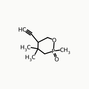 C#CC1COP(C)(=O)CC1(C)C